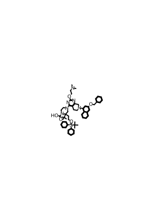 CN(C)CCOc1nc2c(c(N3CCN(C(=O)O)C(CCO[Si](c4ccccc4)(c4ccccc4)C(C)(C)C)(C(C)(C)C)C3)n1)CCN(c1cc(OCc3ccccc3)cc3ccccc13)C2